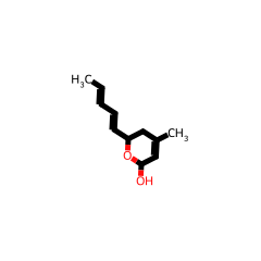 CC=CC=CC1CC(C)=CC(O)O1